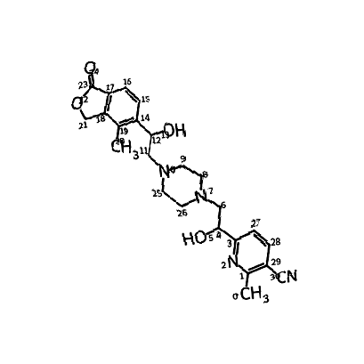 Cc1nc(C(O)CN2CCN(CC(O)c3ccc4c(c3C)COC4=O)CC2)ccc1C#N